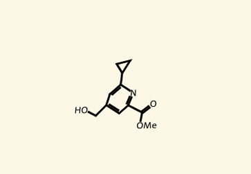 COC(=O)c1cc(CO)cc(C2CC2)n1